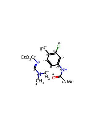 CCOC(=O)N=CN(C)C.CNC(=O)Nc1ccc(C(C)C)c(Cl)c1